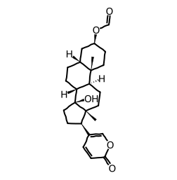 C[C@]12CC[C@H](OC=O)C[C@H]1CC[C@@H]1[C@@H]2CC[C@]2(C)[C@@H](c3ccc(=O)oc3)CC[C@]12O